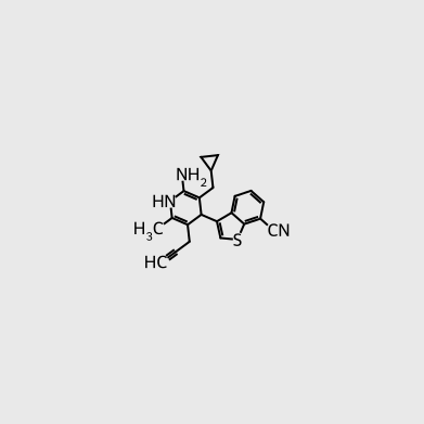 C#CCC1=C(C)NC(N)=C(CC2CC2)C1c1csc2c(C#N)cccc12